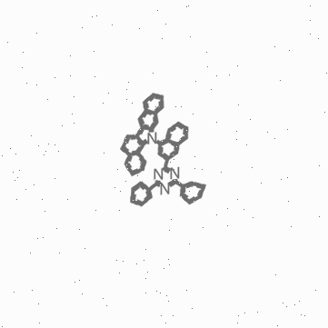 c1ccc(-c2nc(-c3ccccc3)nc(-c3cc(-n4c5cc6ccccc6cc5c5ccc6ccccc6c54)c4ccccc4c3)n2)cc1